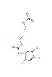 O=C(OCCCCNC(=O)C(Cl)(Cl)Cl)Oc1cc(Cl)c(Cl)cc1Cl